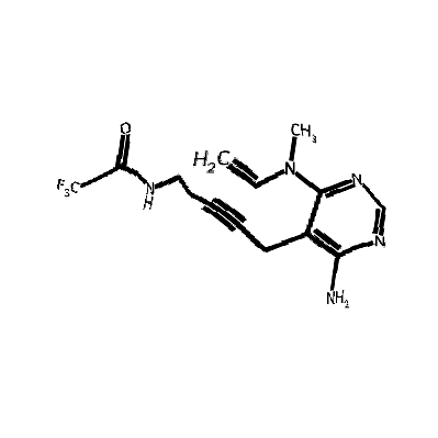 C=CN(C)c1ncnc(N)c1CC#CCNC(=O)C(F)(F)F